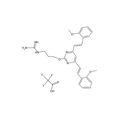 COc1ccccc1C=Cc1cc(C=Cc2ccccc2OC)nc(OCCCNC(=N)N)n1.O=C(O)C(F)(F)F